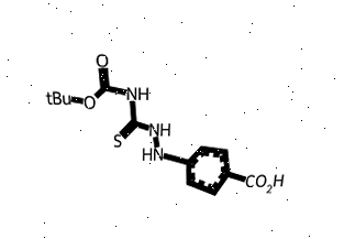 CC(C)(C)OC(=O)NC(=S)NNc1ccc(C(=O)O)cc1